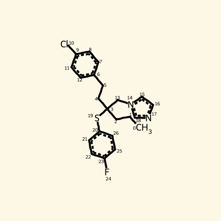 CCCC(CCc1ccc(Cl)cc1)(Cn1ccnc1)Sc1ccc(F)cc1